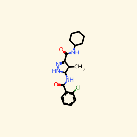 CC1C(C(=O)NC2CCCCC2)=NNC1NC(=O)c1ccccc1Cl